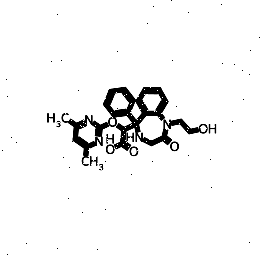 Cc1cc(C)nc(OC(C(=O)O)C2(c3ccccc3)NCC(=O)N(CCO)c3ccccc32)n1